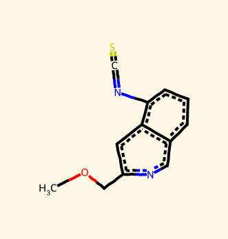 COCc1cc2c(N=C=S)cccc2cn1